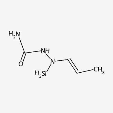 CC=CN([SiH3])NC(N)=O